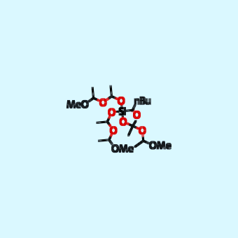 CCCCC(=O)[Si](OC(C)OC(C)OC)(OC(C)OC(C)OC)OC(C)(C)OC(C)OC